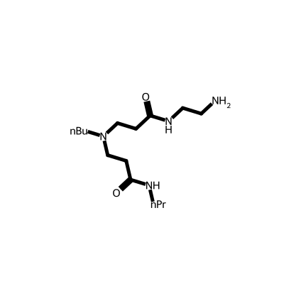 CCCCN(CCC(=O)NCCC)CCC(=O)NCCN